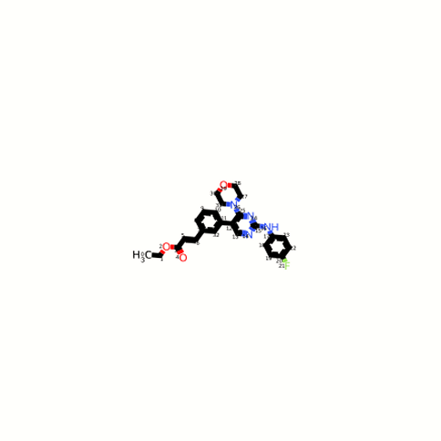 CCOC(=O)C=Cc1cccc(-c2cnc(Nc3ccc(F)cc3)nc2N2CCOCC2)c1